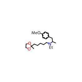 CCN(CCCCCC1(C)OCCO1)C(C)Cc1ccc(OC)cc1